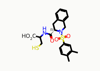 Cc1ccc(S(=O)(=O)N2Cc3ccccc3C[C@H]2C(=O)NC(CS)C(=O)O)cc1C